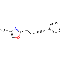 Cc1coc(CCC#Cc2ccccc2)n1